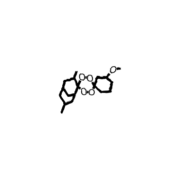 COC1CCCC2(C1)OOC1(OO2)C(C)CC2CC(C)CC1C2